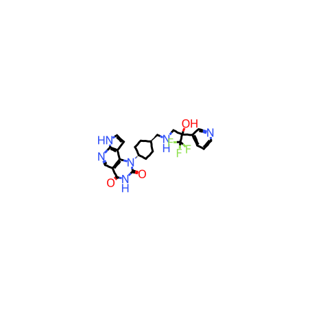 O=c1[nH]c(=O)n([C@H]2CC[C@H](CNCC(O)(c3cccnc3)C(F)(F)F)CC2)c2c1cnc1[nH]ccc12